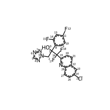 OC(Cn1ncnn1)(c1ccc(F)cc1F)C(F)(F)c1ccc2cc(Cl)ccc2n1